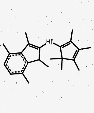 CC1=C(C)C(C)(C)[C]([Hf][C]2=C(C)c3c(C)ccc(C)c3C2C)=C1C